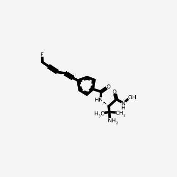 CC(C)(N)[C@H](NC(=O)c1ccc(C#CC#CCF)cc1)C(=O)NO